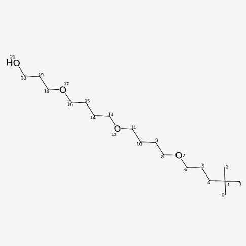 CC(C)(C)CCCOCCCCOCCCCOCCCO